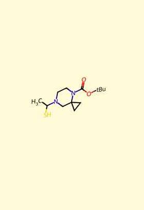 CC(S)N1CCN(C(=O)OC(C)(C)C)C2(CC2)C1